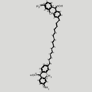 CCCCCCCCC(c1ccc(CCCCCCCCCCCCCCCc2ccc(C(CCCCCCCC)c3ccc(N)cc3C)cc2)cc1)c1ccc(N)cc1C